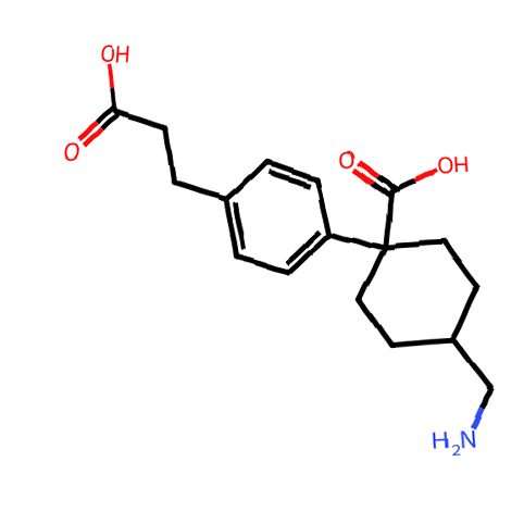 NCC1CCC(C(=O)O)(c2ccc(CCC(=O)O)cc2)CC1